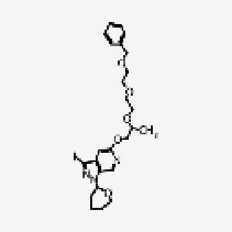 CC(COc1cc2c(I)nn(C3CCCCO3)c2cn1)OCCOCCOCc1ccccc1